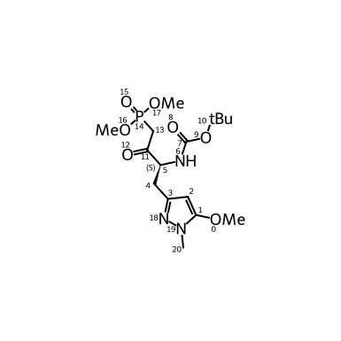 COc1cc(C[C@H](NC(=O)OC(C)(C)C)C(=O)CP(=O)(OC)OC)nn1C